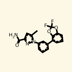 Cc1cc(C(N)=O)nn1-c1cccc(-c2cccc3c2OC(F)(F)O3)c1